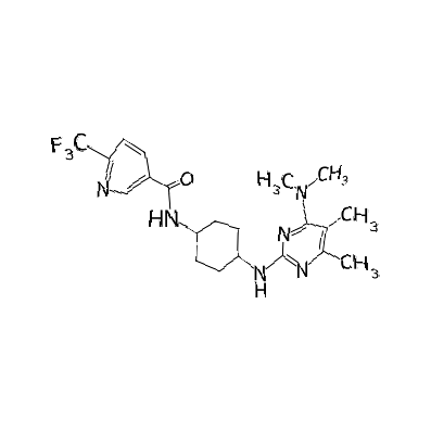 Cc1nc(NC2CCC(NC(=O)c3ccc(C(F)(F)F)nc3)CC2)nc(N(C)C)c1C